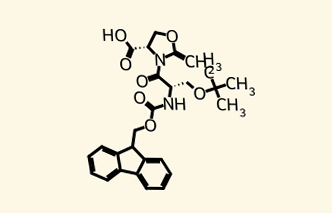 C=C1OC[C@@H](C(=O)O)N1C(=O)[C@H](COC(C)(C)C)NC(=O)OCC1c2ccccc2-c2ccccc21